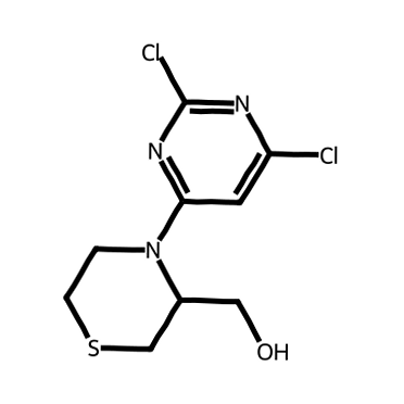 OCC1CSCCN1c1cc(Cl)nc(Cl)n1